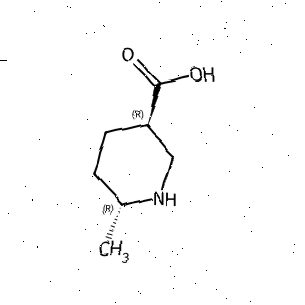 C[C@@H]1CC[C@@H](C(=O)O)CN1